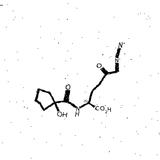 [N-]=[N+]=CC(=O)CC[C@H](NC(=O)C1(O)CCCC1)C(=O)O